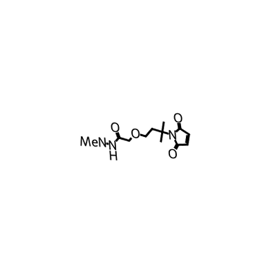 CNNC(=O)COCCC(C)(C)N1C(=O)C=CC1=O